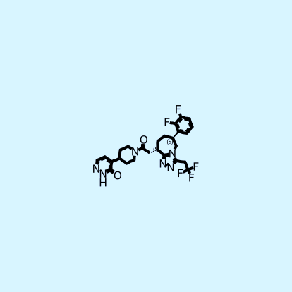 O=C(C[C@@H]1CC[C@@H](c2cccc(F)c2F)Cn2c(CC(F)(F)F)nnc21)N1CCC(c2ccn[nH]c2=O)CC1